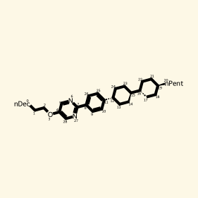 CCCCCCCCCCCCOc1cnc(-c2ccc([C@H]3CC[C@H]([C@H]4CC[C@H](CCCCC)CC4)CC3)cc2)nc1